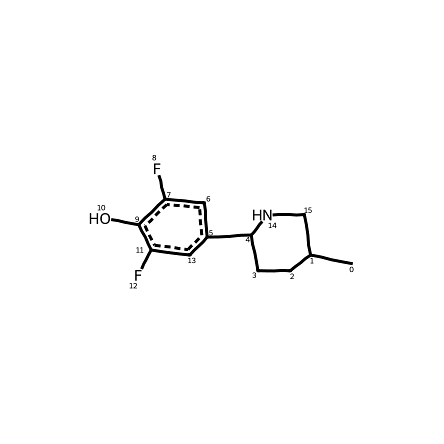 CC1CCC(c2cc(F)c(O)c(F)c2)NC1